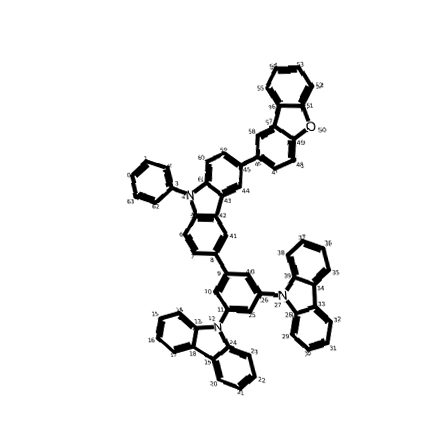 c1ccc(-n2c3ccc(-c4cc(-n5c6ccccc6c6ccccc65)cc(-n5c6ccccc6c6ccccc65)c4)cc3c3cc(-c4ccc5oc6ccccc6c5c4)ccc32)cc1